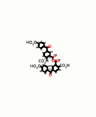 O=C(O)c1ccc(C(=O)c2ccc(C(=O)O)c(C(=O)OC(=O)c3cc(C(=O)c4ccc(C(=O)O)cc4)ccc3C(=O)O)c2)cc1